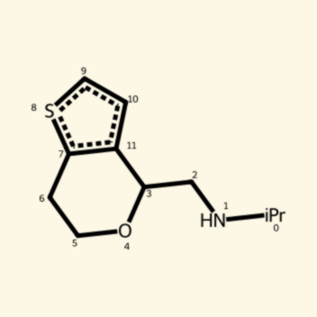 CC(C)NCC1OCCc2sccc21